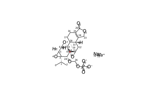 CC(C)[C@]12O[C@H]1[C@@H]1O[C@]13[C@]1(O[C@H]1C[C@H]1C4=C(CC[C@@]13C)C(=O)OC4)[C@@H]2OCOP(=O)([O-])[O-].[Na+].[Na+]